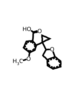 COc1ccc(C(=O)O)c(C2(C3Cc4ccccc4O3)CC2)c1